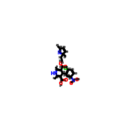 COC(=O)C1=C(C)NC(C)=C(C(=O)OCCC2(C)C=CC(C)=N2)C1c1cc([N+](=O)[O-])ccc1Cl